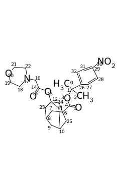 CC(C)(OC(=O)C12CC3CC(CC(OC(=O)CN4CCOCC4)(C3)C1)C2)c1ccc([N+](=O)[O-])cc1